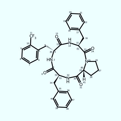 O=C1N[C@H](Cc2ccccc2C(F)(F)F)C(=O)N[C@@H](Cc2ccccc2)C(=O)N2CCC[C@@H]2C(=O)N[C@H]1Cc1ccccc1